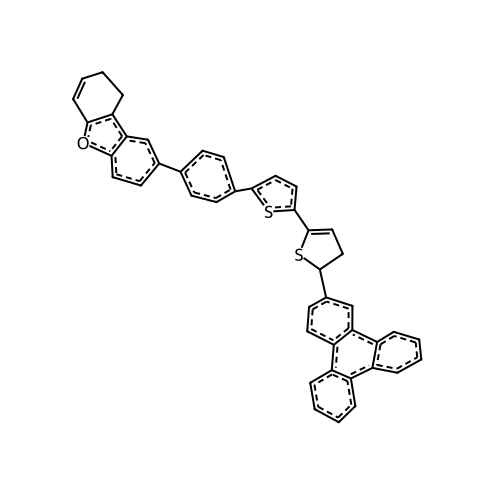 C1=Cc2oc3ccc(-c4ccc(-c5ccc(C6=CCC(c7ccc8c9ccccc9c9ccccc9c8c7)S6)s5)cc4)cc3c2CC1